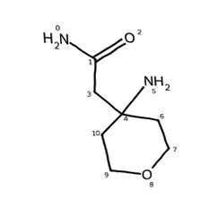 NC(=O)CC1(N)CCOCC1